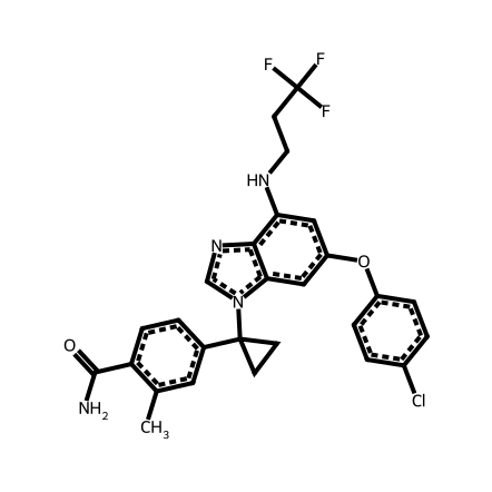 Cc1cc(C2(n3cnc4c(NCCC(F)(F)F)cc(Oc5ccc(Cl)cc5)cc43)CC2)ccc1C(N)=O